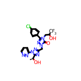 C[C@H](O)c1nc(Cn2nc(-c3ccc(Cl)cc3)n(CC(O)C(F)(F)F)c2=O)nn1-c1cccnn1